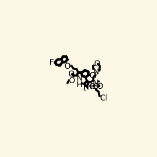 CCOC(=O)c1[nH]c2c(-c3c(C(CCN4CCOCC4)N(C)S(=O)(=O)CCCCl)nn(C)c3C)c(Cl)ccc2c1CCCOc1cccc2cc(F)ccc12